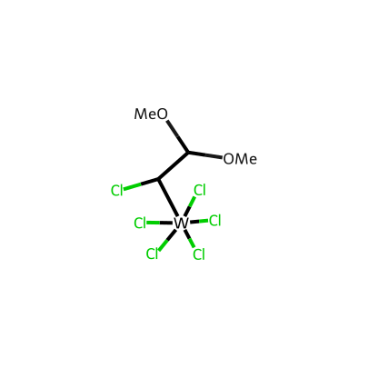 COC(OC)[CH](Cl)[W]([Cl])([Cl])([Cl])([Cl])[Cl]